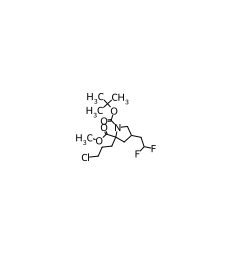 COC(=O)C1(CCCCl)CC(CC(F)F)CN1C(=O)OC(C)(C)C